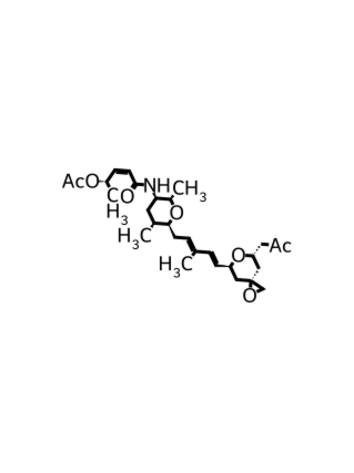 CC(=O)C[C@@H]1C[C@@]2(CO2)C[C@@H](/C=C/C(C)=C/C[C@@H]2O[C@H](C)[C@H](NC(=O)/C=C\[C@H](C)OC(C)=O)C[C@@H]2C)O1